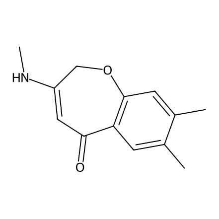 CNC1=CC(=O)c2cc(C)c(C)cc2OC1